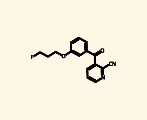 N#Cc1ncccc1C(=O)c1cccc(OCCCF)c1